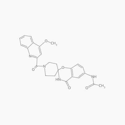 COc1cc(C(=O)N2CCC3(CC2)NC(=O)c2cc(NC(C)=O)ccc2O3)nc2ccccc12